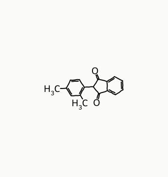 Cc1ccc(C2C(=O)c3ccccc3C2=O)c(C)c1